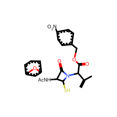 C=C(C)C(C(=O)OCc1ccc([N+](=O)[O-])cc1)N1C(=O)C(NC(C)=O)C1S.c1cc2cc(c1)O2